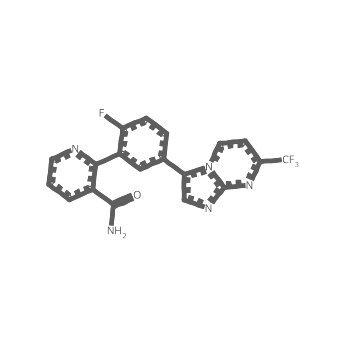 NC(=O)c1cccnc1-c1cc(-c2cnc3nc(C(F)(F)F)ccn23)ccc1F